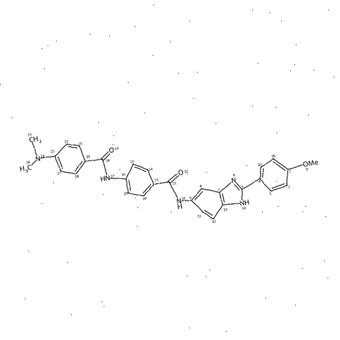 COc1ccc(-c2nc3cc(NC(=O)c4ccc(NC(=O)c5ccc(N(C)C)cc5)cc4)ccc3[nH]2)cc1